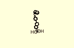 OB(O)c1ccc2c(c1)CCC(c1ccc(SC34CC5CC(CC(C5)C3)C4)cc1)=C2